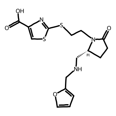 O=C(O)c1csc(SCCN2C(=O)CC[C@@H]2CNCc2ccco2)n1